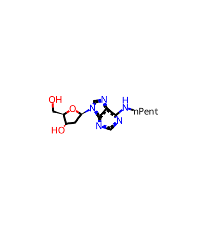 CCCCCNc1ncnc2c1ncn2[C@H]1C[C@H](O)[C@@H](CO)O1